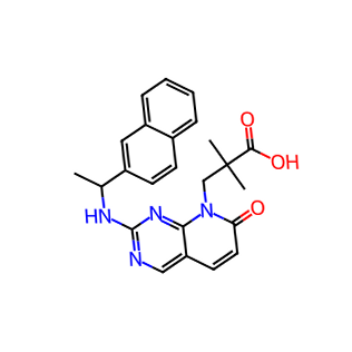 CC(Nc1ncc2ccc(=O)n(CC(C)(C)C(=O)O)c2n1)c1ccc2ccccc2c1